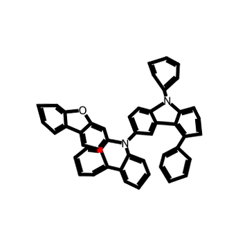 c1ccc(-c2ccccc2N(c2ccc3c(c2)oc2ccccc23)c2ccc3c(c2)c2c(-c4ccccc4)cccc2n3-c2ccccc2)cc1